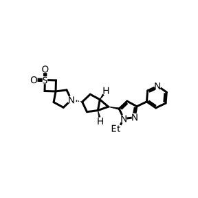 CCn1nc(-c2cccnc2)cc1[C@H]1[C@@H]2C[C@H](N3CCC4(C3)CS(=O)(=O)C4)C[C@@H]21